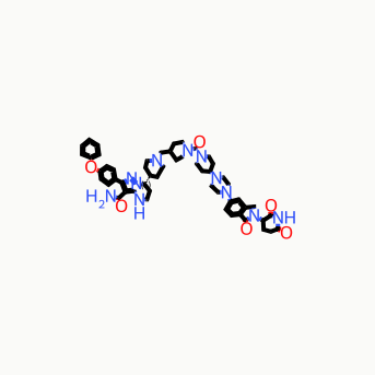 NC(=O)c1c(-c2ccc(Oc3ccccc3)cc2)nn2c1NCC[C@H]2C1CCN(CC2CCN(C(=O)N3CCC(N4CCN(c5ccc6c(c5)CN(C5CCC(=O)NC5=O)C6=O)CC4)CC3)CC2)CC1